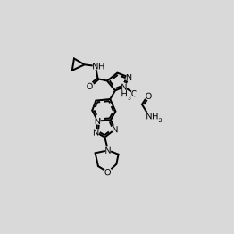 Cn1ncc(C(=O)NC2CC2)c1-c1ccn2nc(N3CCOCC3)nc2c1.NC=O